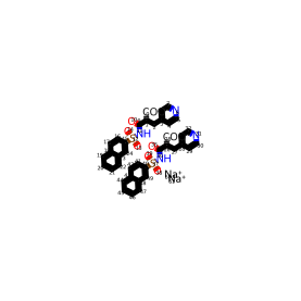 O=C([O-])C(Cc1ccncc1)C(=O)NS(=O)(=O)c1ccc2ccccc2c1.O=C([O-])C(Cc1ccncc1)C(=O)NS(=O)(=O)c1ccc2ccccc2c1.[Na+].[Na+]